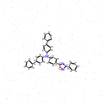 c1ccc(-c2ccc(N(c3ccc(-c4ccccc4)cc3)c3ccc(-c4nc(-c5ccccc5)no4)cc3)cc2)cc1